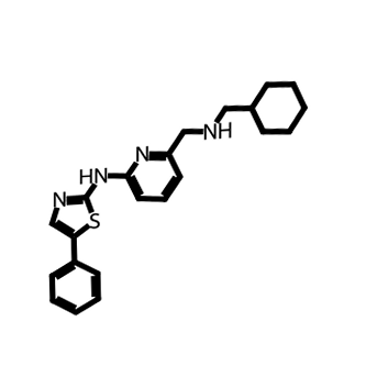 c1ccc(-c2cnc(Nc3cccc(CNCC4CCCCC4)n3)s2)cc1